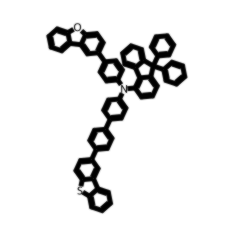 c1ccc(C2(c3ccccc3)c3ccccc3-c3c(N(c4ccc(-c5ccc(-c6ccc7sc8ccccc8c7c6)cc5)cc4)c4ccc(-c5ccc6oc7ccccc7c6c5)cc4)cccc32)cc1